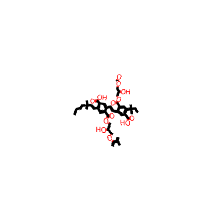 C=C(C)C(=C)OCC(O)COC(=O)c1cc(/C=C/C(C)(C)CCCC)c(C(=O)O)cc1/C=C/c1cc(C(=O)O)c(C(C)(C)CC)cc1C(=O)OCC(O)COC=O